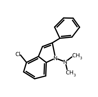 CN(C)n1c(-c2ccccc2)cc2c(Cl)cccc21